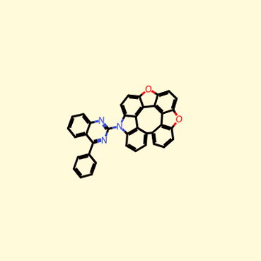 c1ccc(-c2nc(-n3c4cccc5c6cccc7oc8ccc9oc%10ccc3c(c%10c9c8c76)c54)nc3ccccc23)cc1